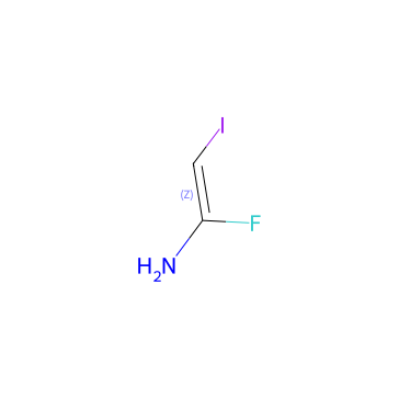 N/C(F)=C/I